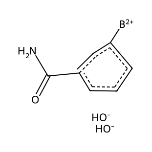 [B+2]c1cccc(C(N)=O)c1.[OH-].[OH-]